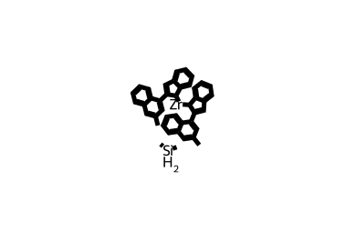 C[SiH2]C.Cc1cc(C2=Cc3ccccc3[CH]2[Zr][CH]2C(c3cc(C)cc4ccccc34)=Cc3ccccc32)c2ccccc2c1